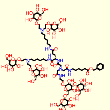 O=C(CC[C@H](NC(=O)CN(CC(=O)NCCCCCC(=O)OCc1ccccc1)CC(=O)NCCO[C@H]1O[C@H](CO[C@H]2O[C@H](CO)[C@@H](O)[C@H](O)[C@@H]2O)[C@@H](O)[C@H](O[C@H]2O[C@H](CO)[C@@H](O)[C@H](O)[C@@H]2O)[C@@H]1O)C(=O)NCCCCCCN(CCO[C@H]1O[C@H](CO)[C@@H](O)[C@H](O)[C@@H]1O)CCO[C@H]1O[C@H](CO)[C@@H](O)[C@H](O)[C@@H]1O)NCCCCCCN(CCO[C@H]1O[C@H](CO)[C@@H](O)[C@H](O)[C@@H]1O)CCO[C@H]1O[C@H](CO)[C@@H](O)[C@H](O)[C@@H]1O